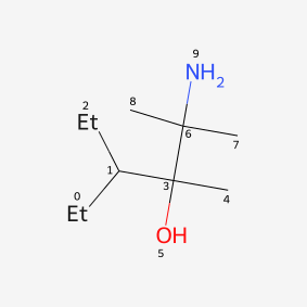 CCC(CC)C(C)(O)C(C)(C)N